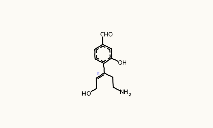 NCC/C(=C\CO)c1ccc(C=O)cc1O